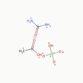 CC(=O)O.NC(N)=O.[O-][Cl+3]([O-])([O-])O